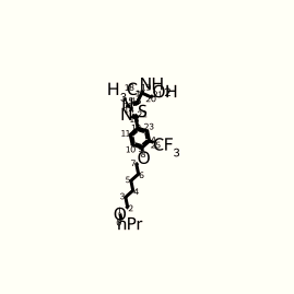 CCCOCCCCCCOc1ccc(-c2nnc([C@@](C)(N)CO)s2)cc1C(F)(F)F